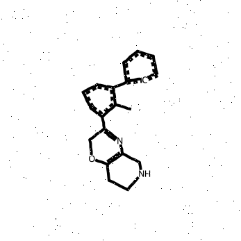 Cc1c(C2=NC3=C(CCNC3)OC2)cccc1-c1ccccc1